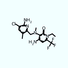 CCn1c(C(F)(F)F)cc(N)c(N(C)Cc2nc(N)c(Cl)cc2C)c1=O